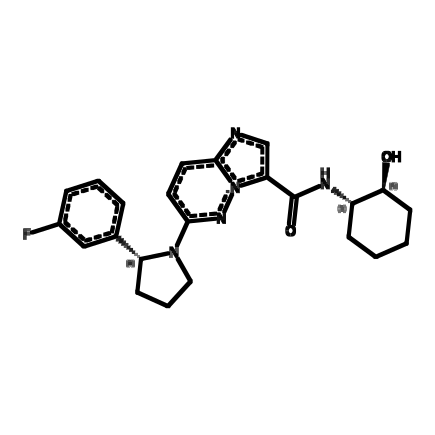 O=C(N[C@H]1CCCC[C@@H]1O)c1cnc2ccc(N3CCC[C@@H]3c3cccc(F)c3)nn12